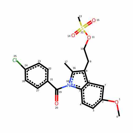 COc1ccc2c(c1)c(CCOS(C)(=O)=O)c(C)n2C(=O)c1ccc(Cl)cc1